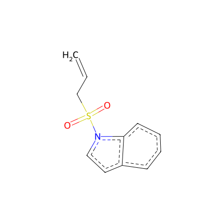 C=CCS(=O)(=O)n1ccc2ccccc21